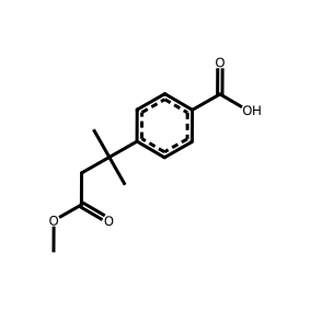 COC(=O)CC(C)(C)c1ccc(C(=O)O)cc1